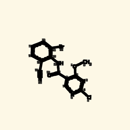 COc1nc(Cl)ncc1C(=O)Nc1c(Br)cccc1C#N